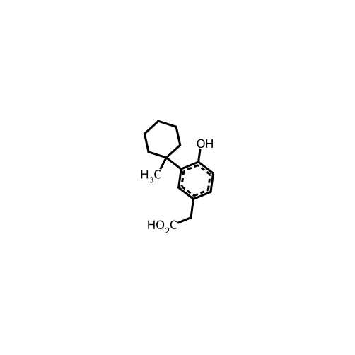 CC1(c2cc(CC(=O)O)ccc2O)CCCCC1